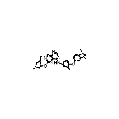 Cc1cc(Nc2ncnc3cnc(O[C@@H]4CN(C)C[C@@H]4F)nc23)ccc1Oc1ccc2c(c1)ncn2C